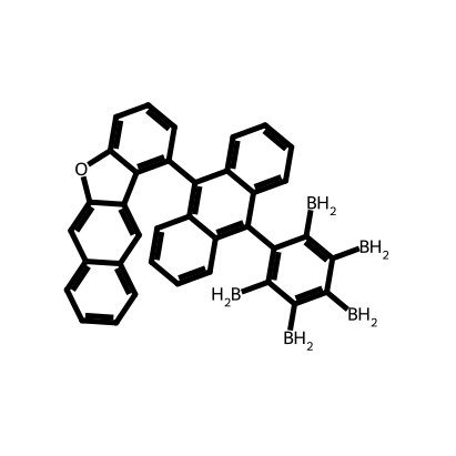 Bc1c(B)c(B)c(-c2c3ccccc3c(-c3cccc4oc5cc6ccccc6cc5c34)c3ccccc23)c(B)c1B